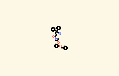 N#CC(CCC(=O)N1CC(Oc2ccccc2OCc2ccccc2)C1)(c1ccccc1)c1ccccc1